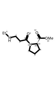 CCNCCC(=O)N1CCC[C@H]1C(=O)OC